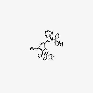 CC(C)(C)OC(=O)N1Cc2c(-c3cn(C(=O)O)c4ncccc34)ccc(Br)c2C1=O